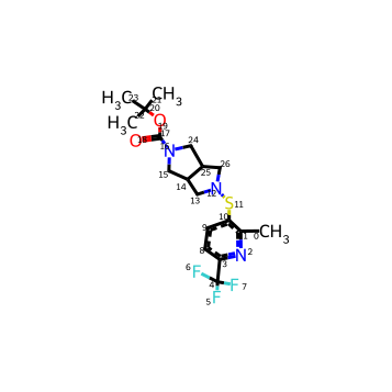 Cc1nc(C(F)(F)F)ccc1SN1CC2CN(C(=O)OC(C)(C)C)CC2C1